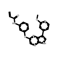 C=CC(=O)Nc1cccc(Oc2cnc3[nH]cc(-c4ccnc(OC)c4)c3n2)c1